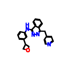 c1cc(Nc2nnc(Cc3ccncc3)c3ccccc23)cc(C2COC2)c1